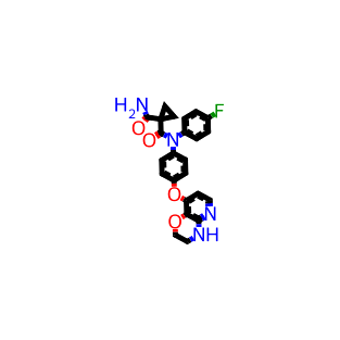 NC(=O)C1(C(=O)N(c2ccc(F)cc2)c2ccc(Oc3ccnc4c3OCCN4)cc2)CC1